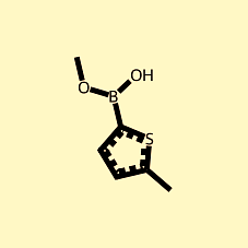 COB(O)c1ccc(C)s1